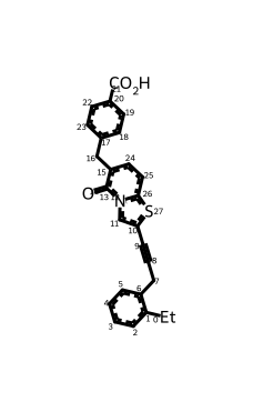 CCc1ccccc1CC#Cc1cn2c(=O)c(Cc3ccc(C(=O)O)cc3)ccc2s1